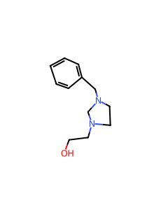 OCCN1CCN(Cc2ccccc2)C1